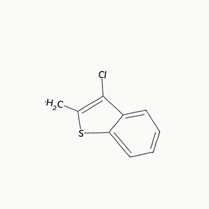 [CH2]c1sc2ccccc2c1Cl